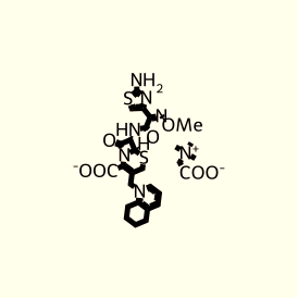 CO/N=C(\C(=O)N[C@@H]1C(=O)N2C(C(=O)[O-])=C(C[n+]3cccc4c3CCCC4)CS[C@H]12)c1csc(N)n1.C[N+](C)(C)CC(=O)[O-]